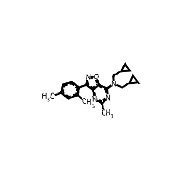 Cc1ccc(-c2noc3c(N(CC4CC4)CC4CC4)nc(C)nc23)c(C)c1